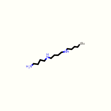 CC(C)(C)CCCCNCCCCNCCCCN